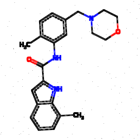 Cc1ccc(CN2CCOCC2)cc1NC(=O)c1cc2cccc(C)c2[nH]1